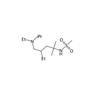 CCC(CN(CC)C(C)C)CC(C)(C)NS(C)(=O)=O